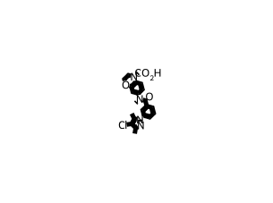 Cc1nn(-c2cccc(C(=O)N(C)c3ccc4c(c3)OCCN4C(=O)O)c2)c(C)c1Cl